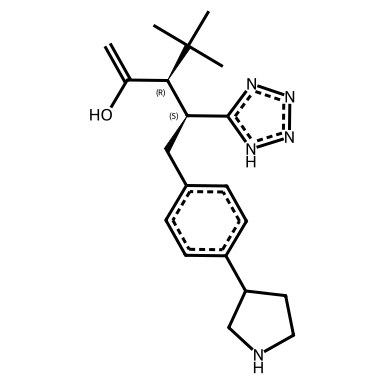 C=C(O)[C@H]([C@H](Cc1ccc(C2CCNC2)cc1)c1nnn[nH]1)C(C)(C)C